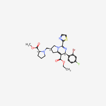 CCOC(=O)C1=C2C[C@@H](CN3CCC[C@H]3C(=O)OC)CN2C(c2nccs2)=N[C@H]1c1ccc(F)cc1Br